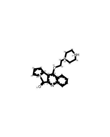 O=C1c2nc3ccccc3c(OCCN3CCNCC3)c2-c2cccn21